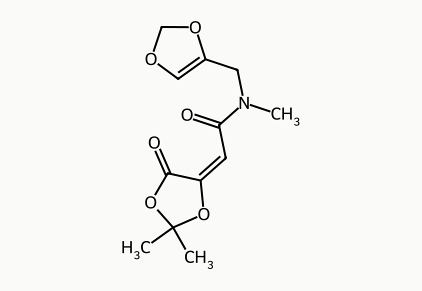 CN(CC1=COCO1)C(=O)C=C1OC(C)(C)OC1=O